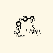 COC(=O)Cn1cc2cc(Oc3ccc(-c4ccnn4COCC[Si](C)(C)C)cn3)ccc2n1